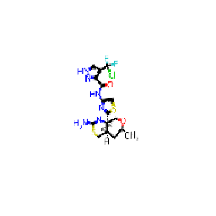 C[C@H]1C[C@H]2CSC(N)=N[C@@]2(c2nc(NC(=O)c3n[nH]cc3C(F)(F)Cl)cs2)CO1